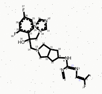 C=N/C(=N\C=C(/C)F)NC1CC2CN(CC(O)(Cn3cncn3)c3ccc(F)cc3F)CC2C1